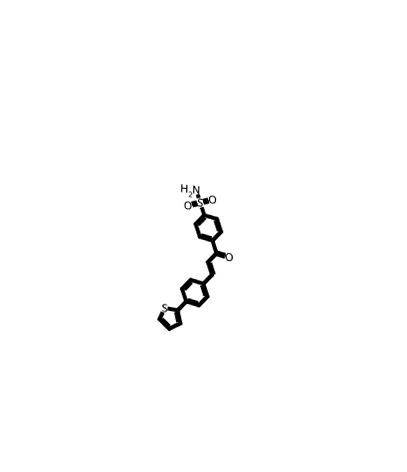 NS(=O)(=O)c1ccc(C(=O)C=Cc2ccc(-c3cccs3)cc2)cc1